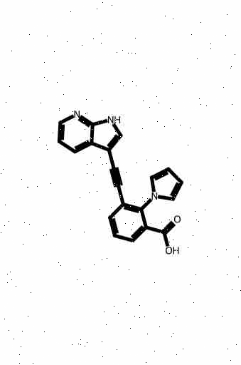 O=C(O)c1cccc(C#Cc2c[nH]c3ncccc23)c1-n1cccc1